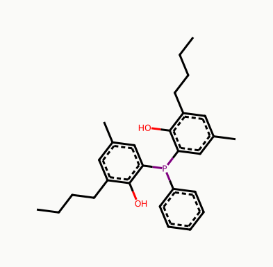 CCCCc1cc(C)cc(P(c2ccccc2)c2cc(C)cc(CCCC)c2O)c1O